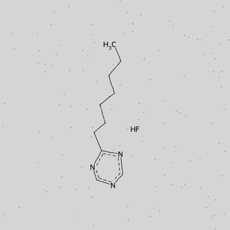 CCCCCCCc1ncncn1.F